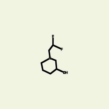 OC1CCCN(CC(F)F)C1